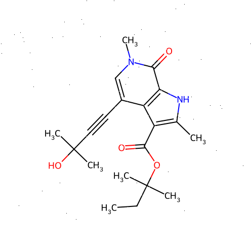 CCC(C)(C)OC(=O)c1c(C)[nH]c2c(=O)n(C)cc(C#CC(C)(C)O)c12